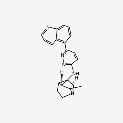 C[C@@H]1[C@@H](Nc2ccc(-c3cccc4ncccc34)nn2)C2CCN1CC2